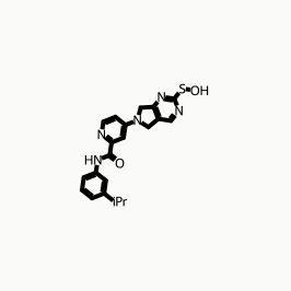 CC(C)c1cccc(NC(=O)c2cc(N3Cc4cnc(SO)nc4C3)ccn2)c1